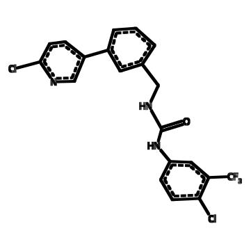 O=C(NCc1cccc(-c2ccc(Cl)nc2)c1)Nc1ccc(Cl)c(C(F)(F)F)c1